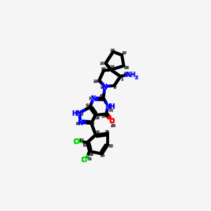 NC1CN(c2nc3[nH]nc(-c4cccc(Cl)c4Cl)c3c(=O)[nH]2)CCC12CCCC2